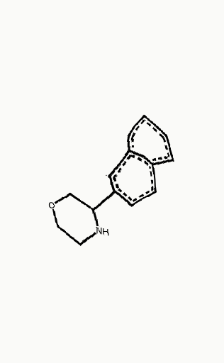 [c]1c(C2COCCN2)ccc2ccccc12